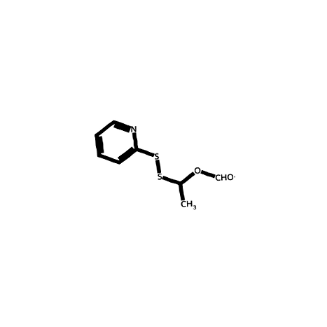 CC(O[C]=O)SSc1ccccn1